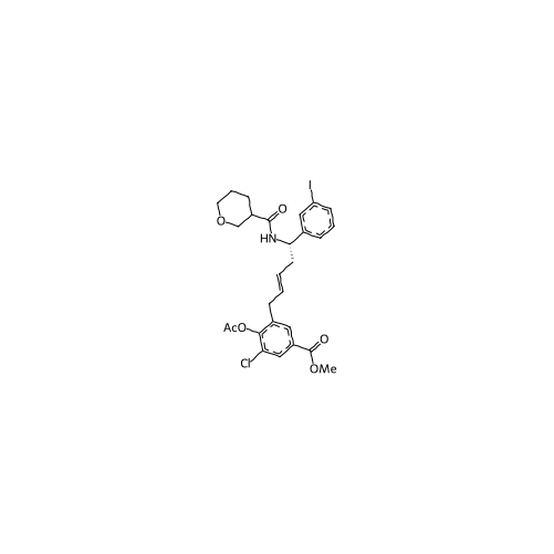 COC(=O)c1cc(Cl)c(OC(C)=O)c(C/C=C/C[C@H](NC(=O)C2CCCOC2)c2cccc(I)c2)c1